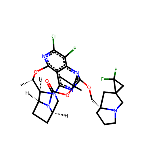 C[C@@H]1Oc2nc(Cl)c(F)c3nc(OC[C@@]45CCCN4CC4(CC4(F)F)C5)nc(c23)N2C[C@H]3CC[C@@H]([C@@H]12)N3C(=O)OC(C)(C)C